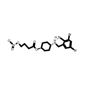 Nc1c(Br)cc(Br)cc1CN[C@H]1CC[C@H](OC(=O)CCCO[N+](=O)[O-])CC1